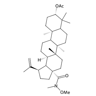 C=C(C)[C@@H]1CC[C@]2(C(=O)N(C)OC)CC[C@]3(C)[C@H](CCC4[C@@]5(C)CC[C@H](OC(C)=O)C(C)(C)C5CC[C@]43C)C12